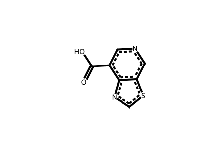 O=C(O)c1cncc2s[c]nc12